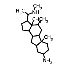 CNC(C)C1CCC2C3CC4CC(N)CCC4(C)C3CC(C)C12C